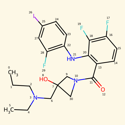 CCCN(CC)CC1(O)CN(C(=O)c2ccc(F)c(F)c2Nc2ccc(I)cc2F)C1